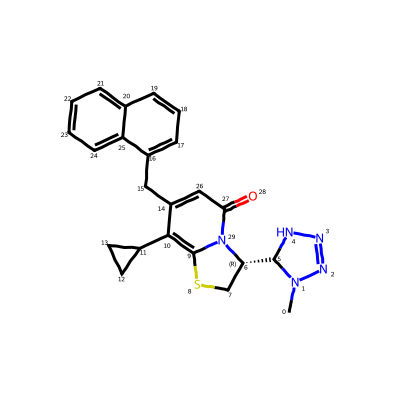 CN1N=NNC1[C@@H]1CSc2c(C3CC3)c(Cc3cccc4ccccc34)cc(=O)n21